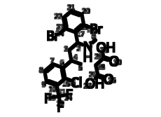 CNC(CC(C)c1cccc(C(F)(F)F)c1Cl)c1c(Br)cccc1Br.O=C(O)CC(=O)O